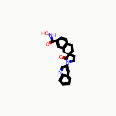 O=C(NO)c1ccc2c(c1)C[C@@]1(CC2)CCN(c2cnc3ccccc3c2)C1=O